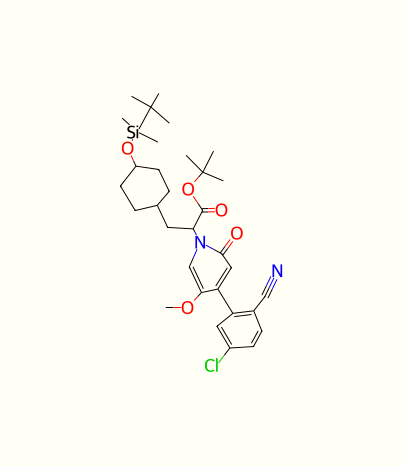 COc1cn(C(CC2CCC(O[Si](C)(C)C(C)(C)C)CC2)C(=O)OC(C)(C)C)c(=O)cc1-c1cc(Cl)ccc1C#N